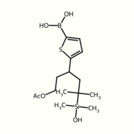 CC(=O)OCCC(CC(C)(C)[Si](C)(C)O)c1ccc(B(O)O)s1